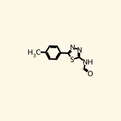 Cc1ccc(-c2nnc(N[C]=O)s2)cc1